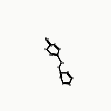 O=C1C=CC(OCc2ccccc2)=NC1